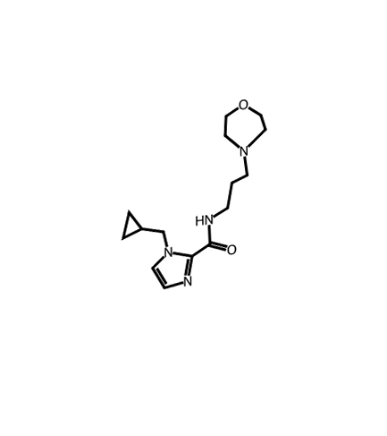 O=C(NCCCN1CCOCC1)c1nccn1CC1CC1